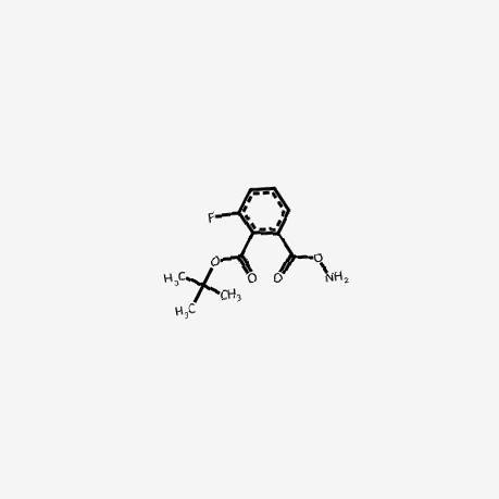 CC(C)(C)OC(=O)c1c(F)cccc1C(=O)ON